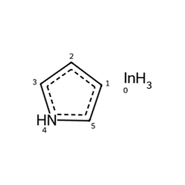 [InH3].c1cc[nH]c1